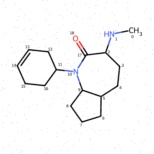 CNC1CCC2CCCC2N(C2CC=CCC2)C1=O